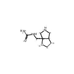 NC(=O)NCC12CNCC1CCO2